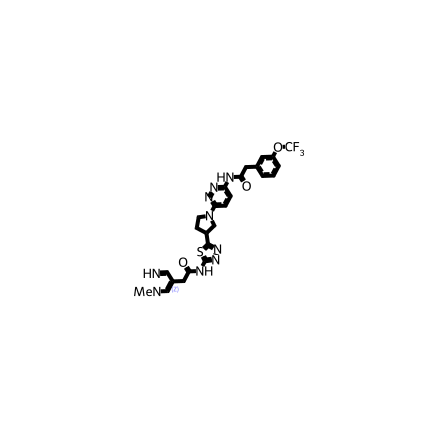 CN/C=C(\C=N)CC(=O)Nc1nnc(C2CCN(c3ccc(NC(=O)Cc4cccc(OC(F)(F)F)c4)nn3)C2)s1